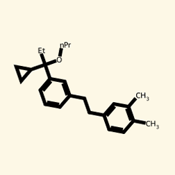 CCCOC(CC)(c1cccc(CCc2ccc(C)c(C)c2)c1)C1CC1